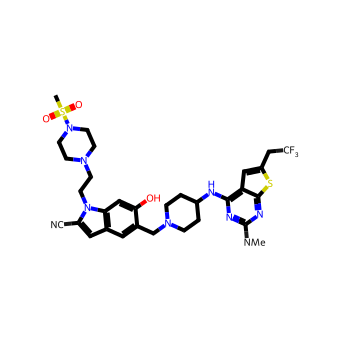 CNc1nc(NC2CCN(Cc3cc4cc(C#N)n(CCN5CCN(S(C)(=O)=O)CC5)c4cc3O)CC2)c2cc(CC(F)(F)F)sc2n1